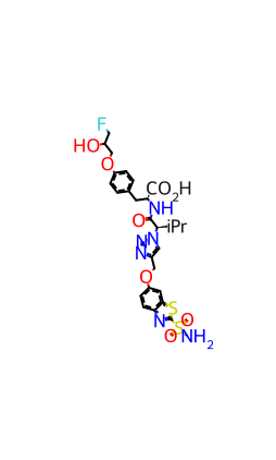 CC(C)[C@H](C(=O)N[C@H](Cc1ccc(OCC(O)CF)cc1)C(=O)O)n1cc(COc2ccc3nc(S(N)(=O)=O)sc3c2)nn1